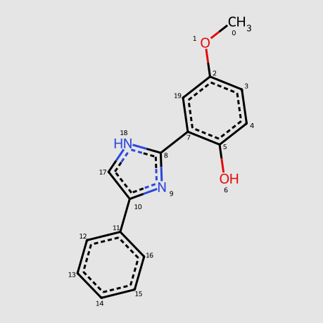 COc1ccc(O)c(-c2nc(-c3ccccc3)c[nH]2)c1